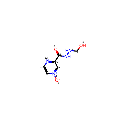 O=C(NNCO)c1c[n+]([O-])ccn1